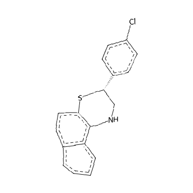 Clc1ccc([C@@H]2CNc3c(ccc4ccccc34)S2)cc1